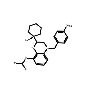 COc1ccc(CN2CC(C3(O)CCCCC3)Oc3c(OC(F)F)cccc32)cc1